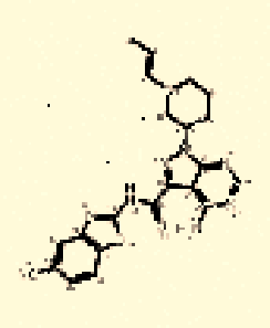 CC=CN1CCC[C@@H](n2nc(C(=O)Nc3nc4cc(C#N)ccc4o3)c3c(N)ncnc32)C1